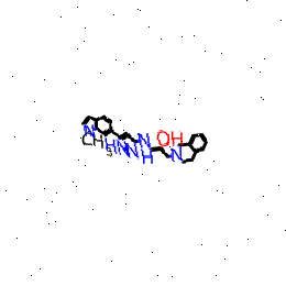 Cn1ccc2ccc(-c3cc(NCC(O)CN4CCc5ccccc5C4)n[nH]3)cc21